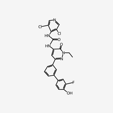 CCn1nc(-c2cccc(-c3ccc(O)c(F)c3)c2)cc(NC(=O)Nc2c(Cl)cncc2Cl)c1=O